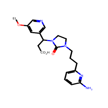 CCOc1cncc(C(CC(=O)O)N2CCN(CCCc3cccc(N)n3)C2=O)c1